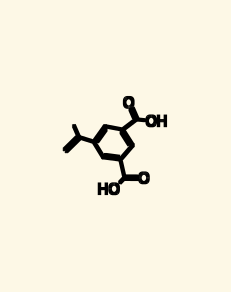 C=C(C)c1cc(C(=O)O)cc(C(=O)O)c1